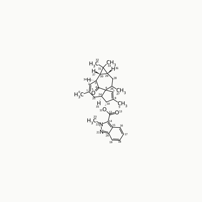 CC1=C[C@@H]2C(=O)C3(C=C(C)[C@H](OC(=O)c4c5ccccc5nn4C)[C@H]3C1)C(C)C[C@@H]1[C@H]2C1(C)C